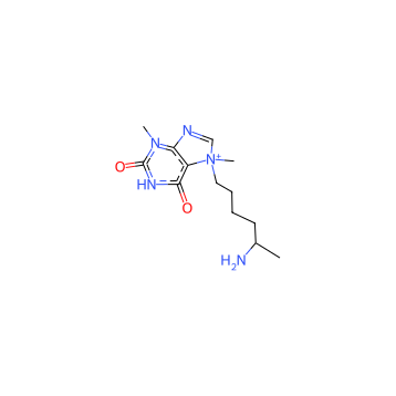 CC(N)CCCC[N+]1(C)C=Nc2c1c(=O)[nH]c(=O)n2C